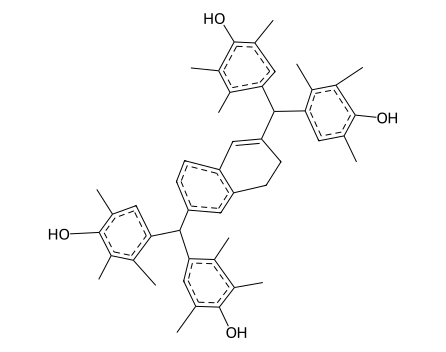 Cc1cc(C(C2=Cc3ccc(C(c4cc(C)c(O)c(C)c4C)c4cc(C)c(O)c(C)c4C)cc3CC2)c2cc(C)c(O)c(C)c2C)c(C)c(C)c1O